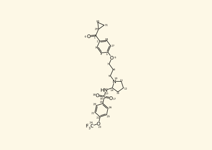 O=C(c1ccc(OCCCN2CCCC2NS(=O)(=O)c2ccc(OC(F)(F)F)cc2)cc1)C1CC1